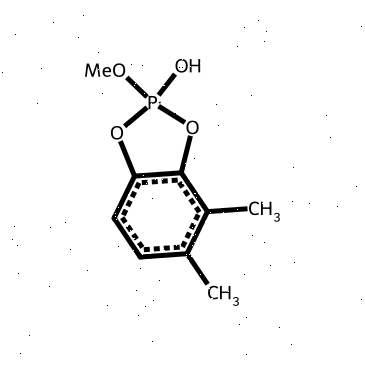 CO[P]1(O)Oc2ccc(C)c(C)c2O1